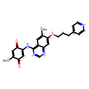 COC1=CC(=O)C(Nc2ncnc3cc(OCCCc4ccncc4)c(OC)cc23)=CC1=O